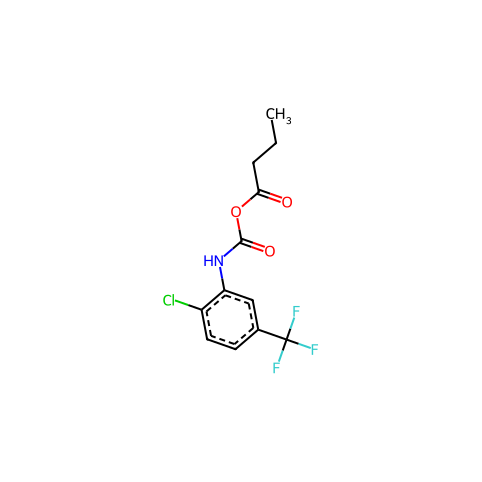 CCCC(=O)OC(=O)Nc1cc(C(F)(F)F)ccc1Cl